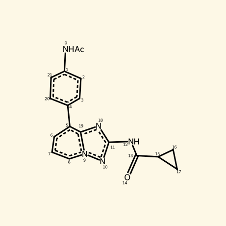 CC(=O)Nc1ccc(-c2cccn3nc(NC(=O)C4CC4)nc23)cc1